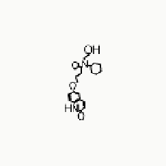 O=C(CCCOc1ccc2[nH]c(=O)ccc2c1)N(CCO)C1CCCCC1